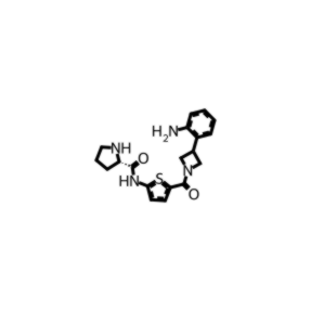 Nc1ccccc1C1CN(C(=O)c2ccc(NC(=O)[C@@H]3CCCN3)s2)C1